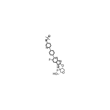 CS(C)(=O)=Nc1ccc(-c2ccc(-c3nc4nc(O[C@@H]5CO[C@H](CO)C5(F)F)[nH]c4cc3F)cc2)nc1